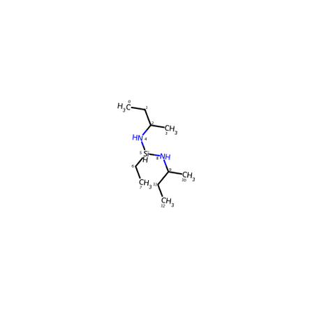 CCC(C)N[SiH](CC)NC(C)CC